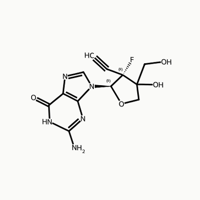 C#C[C@]1(F)[C@H](n2cnc3c(=O)[nH]c(N)nc32)OCC1(O)CO